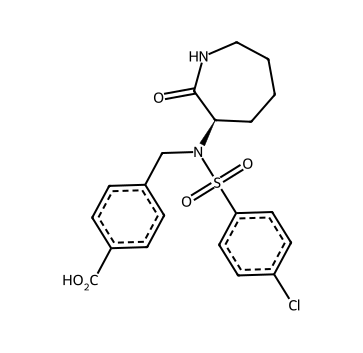 O=C(O)c1ccc(CN([C@@H]2CCCCNC2=O)S(=O)(=O)c2ccc(Cl)cc2)cc1